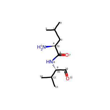 CC(C)C[C@H](N)C(=O)N[C@H]([C]=O)C(C)C